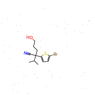 CC(C)C(C#N)(CCCO)c1ccc(Br)s1